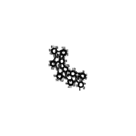 c1ccc2c(c1)-c1cccc3c4cc5c6cc7c8cc9c%10cccc%11c%10n%10c9c9c8n8c7c7c6n6c5c5c4n(c13)C2c1cccc(c1-5)C6c1cccc(c1-7)C8c1cccc(c1-9)C%10c1ccccc1-%11